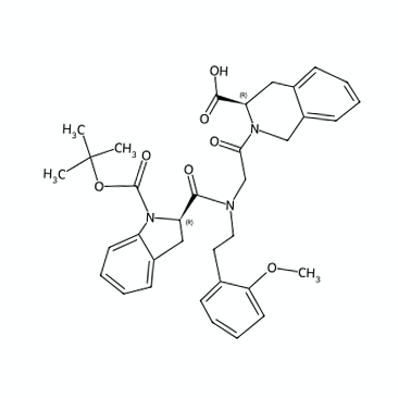 COc1ccccc1CCN(CC(=O)N1Cc2ccccc2C[C@@H]1C(=O)O)C(=O)[C@H]1Cc2ccccc2N1C(=O)OC(C)(C)C